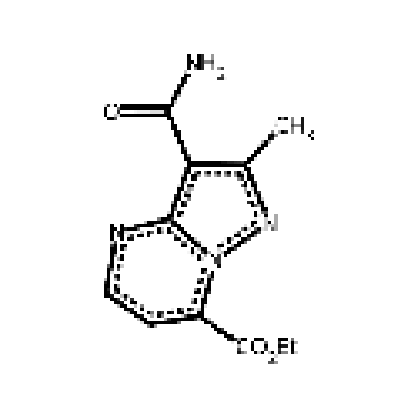 CCOC(=O)c1ccnc2c(C(N)=O)c(C)nn12